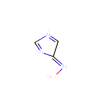 ON=C1C=NC=[N+]1